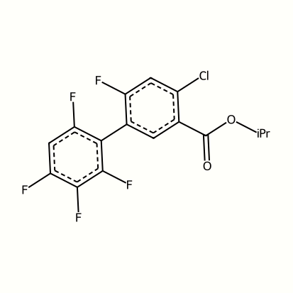 CC(C)OC(=O)c1cc(-c2c(F)cc(F)c(F)c2F)c(F)cc1Cl